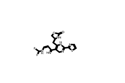 N=C(/C=C\NC(F)F)C1=C(CC2COC(=O)N2)NC(c2nccs2)=NC1